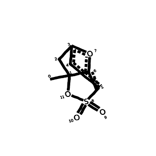 CC12Cc3cc(c1o3)S(=O)(=O)O2